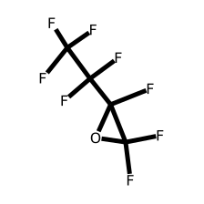 FC(F)(F)C(F)(F)C1(F)OC1(F)F